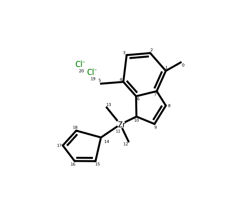 Cc1ccc(C)c2c1C=C[CH]2[Zr]([CH3])([CH3])[CH]1C=CC=C1.[Cl-].[Cl-]